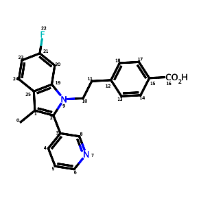 Cc1c(-c2cccnc2)n(CCc2ccc(C(=O)O)cc2)c2cc(F)ccc12